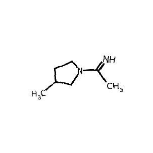 CC(=N)N1CCC(C)C1